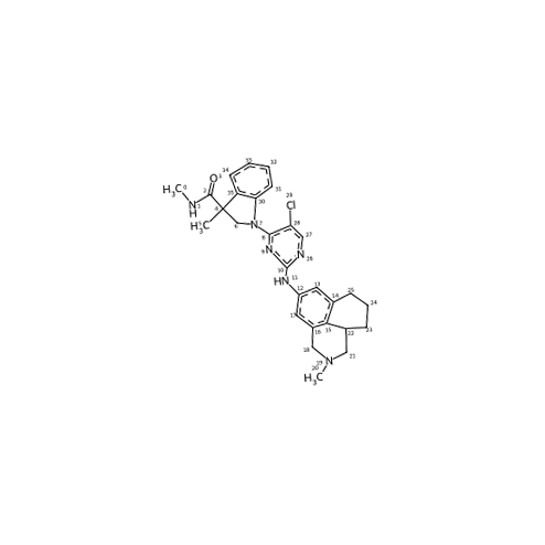 CNC(=O)C1(C)CN(c2nc(Nc3cc4c5c(c3)CN(C)CC5CCC4)ncc2Cl)c2ccccc21